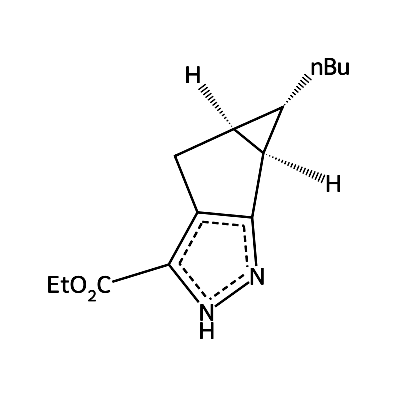 CCCC[C@H]1[C@@H]2Cc3c(n[nH]c3C(=O)OCC)[C@H]12